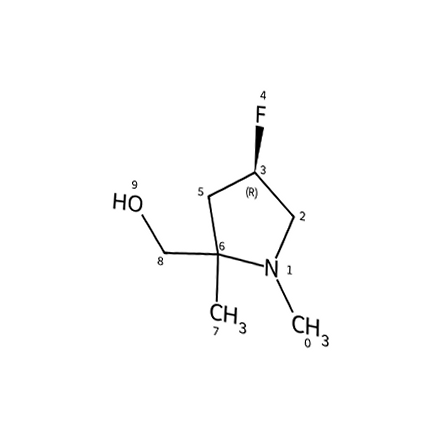 CN1C[C@H](F)CC1(C)CO